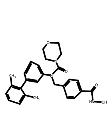 Cc1cccc(C)c1-c1cccc(N(Cc2ccc(C(=O)NO)cc2)C(=O)N2CCOCC2)c1